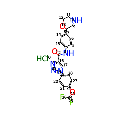 Cl.O=C(Nc1ccc(C2CNCCO2)cc1)c1cn(-c2ccc(OC(F)F)cc2)nn1